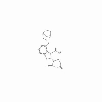 O=CC(=O)C1c2c(CN3CC4CC3CN4)cccc2CN1C1CCC(=O)NC1=O